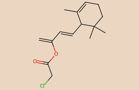 C=C(C=CC1C(C)=CCCC1(C)C)OC(=O)CCl